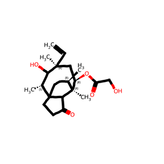 C=C[C@@]1(C)C[C@@H](OC(=O)CO)[C@@]2(C)C3C(=O)CCC3(CC[C@H]2C)[C@H](C)C1O